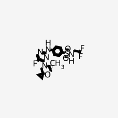 C[C@H]1COC2(CC2)CN1c1nc(Nc2ccc(S(=O)(=O)NCC(F)F)cc2)ncc1F